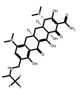 CC(NCc1cc(N(C)C)c2c(c1O)C(=O)C1=C(O)[C@]3(O)C(=O)C(C(N)=O)=C(O)[C@@H](N(C)C)[C@@H]3C[C@@H]1C2)C(F)(F)F